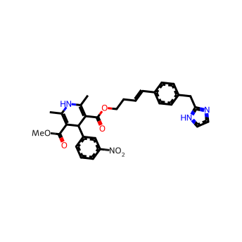 COC(=O)C1=C(C)NC(C)=C(C(=O)OCCC=Cc2ccc(Cc3ncc[nH]3)cc2)C1c1cccc([N+](=O)[O-])c1